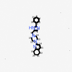 c1ccc(-c2ncc(CN3CCN(c4ccc5c(n4)CCCC5)CC3)[nH]2)cc1